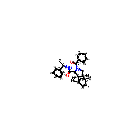 C[C@@H](NC(=O)[C@@H]1[C@@H]2[C@H](CN1C(=O)c1ccccc1)[C@@H]1C=C[C@H]2C1)c1ccccc1